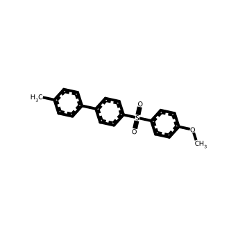 COc1ccc(S(=O)(=O)c2ccc(-c3ccc(C)cc3)cc2)cc1